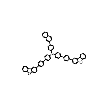 c1ccc2cc(-c3ccc(N(c4ccc(-c5ccc(-c6ccc7oc8ccccc8c7c6)cc5)cc4)c4ccc(-c5ccc(-c6ccc7oc8ccccc8c7c6)cc5)cc4)cc3)ccc2c1